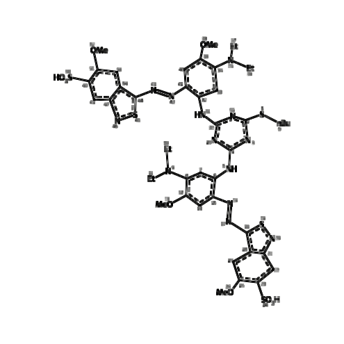 CCCCSc1nc(Nc2cc(N(CC)CC)c(OC)cc2/N=N/c2snc3cc(S(=O)(=O)O)c(OC)cc23)nc(Nc2cc(N(CC)CC)c(OC)cc2/N=N/c2snc3cc(S(=O)(=O)O)c(OC)cc23)n1